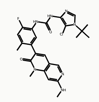 CNc1cc2c(cn1)cc(-c1cc(NC(=O)Nc3ncn(C(C)(C)C)c3Cl)c(F)cc1C)c(=O)n2C